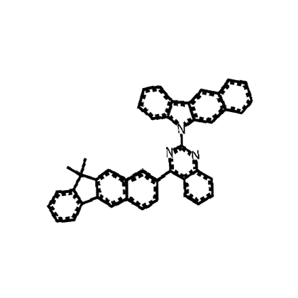 CC1(C)c2ccccc2-c2cc3ccc(-c4nc(-n5c6ccccc6c6cc7ccccc7cc65)nc5ccccc45)cc3cc21